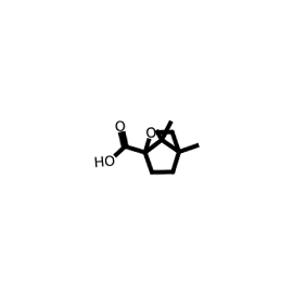 CC12CCC(C(=O)O)(OC1)C2(C)C